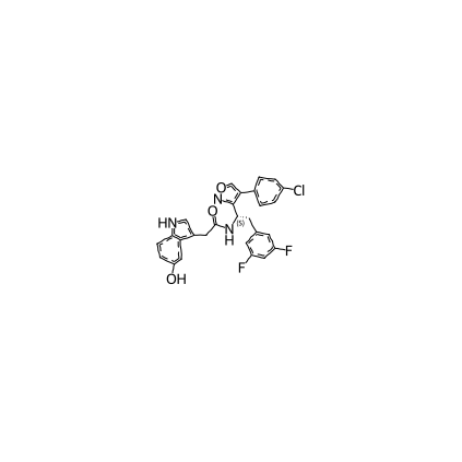 O=C(Cc1c[nH]c2ccc(O)cc12)N[C@@H](Cc1cc(F)cc(F)c1)c1nocc1-c1ccc(Cl)cc1